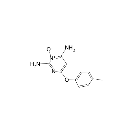 Cc1ccc(Oc2cc(N)[n+]([O-])c(N)n2)cc1